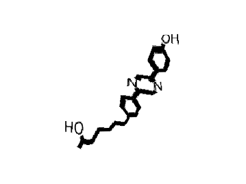 CC(O)CCC/C=C/c1ccc(-c2cnc(-c3ccc(O)cc3)cn2)cc1